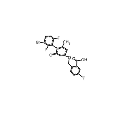 Cc1cc(OCc2ccc(F)cc2C(=O)O)cc(=O)n1-c1c(F)ccc(Br)c1F